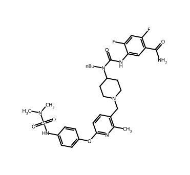 CCCCN(C(=O)Nc1cc(C(N)=O)c(F)cc1F)C1CCN(Cc2ccc(Oc3ccc(NS(=O)(=O)N(C)C)cc3)nc2C)CC1